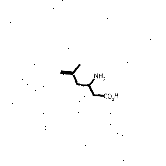 C=C(C)CC(N)CC(=O)O